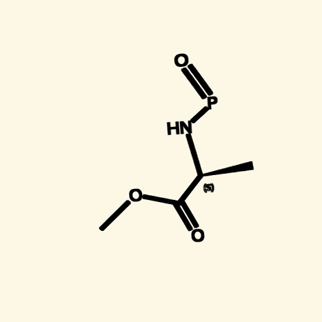 COC(=O)[C@H](C)NP=O